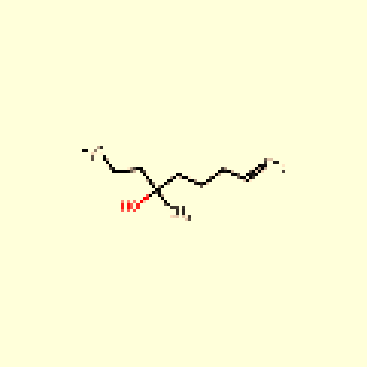 C=CCCCC(C)(O)CCC